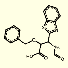 O=CNC(c1nc2ccccc2s1)C(OCc1ccccc1)C(=O)O